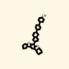 N#Cc1ccc(-c2ccc(-c3ccc4cc(-c5c6oc7ccccc7c6cc6c5oc5ccccc56)ccc4c3)cc2)cc1